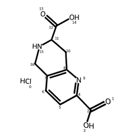 Cl.O=C(O)c1ccc2c(n1)CC(C(=O)O)NC2